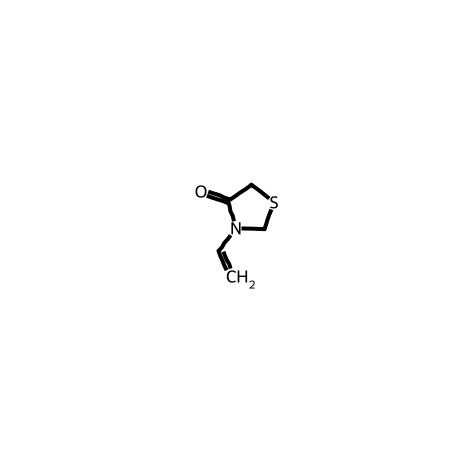 C=CN1CSCC1=O